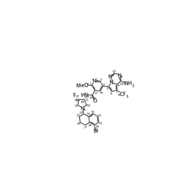 COc1ncc(-c2cc(C(F)(F)F)c3c(N)ncnn23)cc1C(=O)N[C@@H]1CN(C2CCCc3c(Br)cccc32)C[C@@H]1F